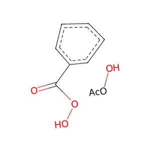 CC(=O)OO.O=C(OO)c1ccccc1